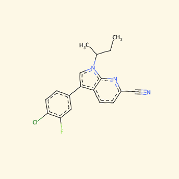 CCC(C)n1cc(-c2ccc(Cl)c(F)c2)c2ccc(C#N)nc21